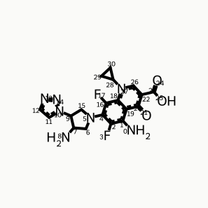 Nc1c(F)c(N2CC(N)C(n3ccnn3)C2)c(F)c2c1c(=O)c(C(=O)O)cn2C1CC1